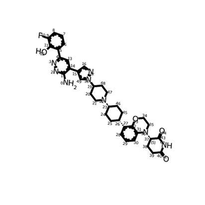 Nc1nnc(-c2cccc(F)c2O)cc1-c1cnn(C2CCN([C@H]3CC[C@@H](c4cccc5c4OCCN5[C@H]4CCC(=O)NC4=O)CC3)CC2)c1